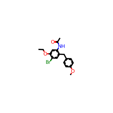 CCOc1cc(NC(C)=O)c(Cc2ccc(OC)cc2)cc1Br